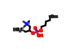 CCCCCCCCCCCCCCOP(=O)(O)OC(CC(=O)O)C[N+](C)(C)C